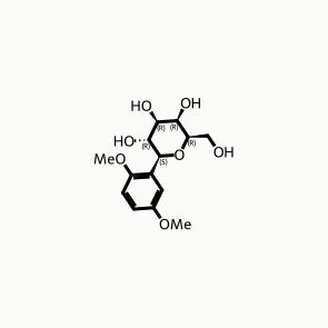 COc1ccc(OC)c([C@@H]2O[C@H](CO)[C@H](O)[C@H](O)[C@H]2O)c1